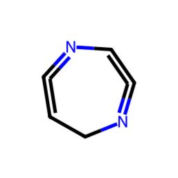 C1=CCN=C=CN=1